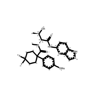 COc1ccc(C2(C(=O)N(C)[C@@H](C(=O)Nc3ccc4[nH]ncc4n3)[C@@H](C)O)CCC(F)(F)CC2)cc1